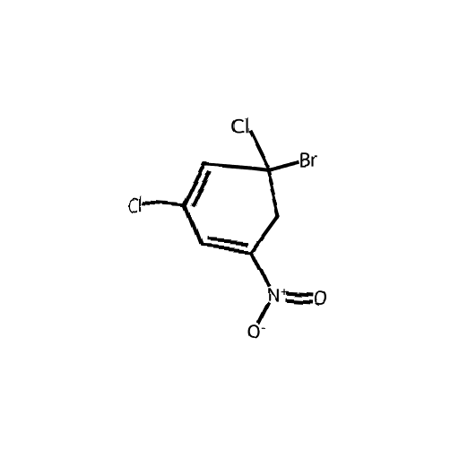 O=[N+]([O-])C1=CC(Cl)=CC(Cl)(Br)C1